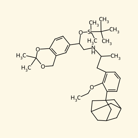 CCOc1c(CC(C)NCC(O[Si](C)(C)C(C)(C)C)c2ccc3c(c2)COC(C)(C)O3)cccc1C12CC3CC(CC(C3)C1)C2